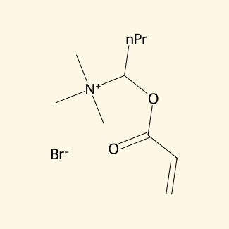 C=CC(=O)OC(CCC)[N+](C)(C)C.[Br-]